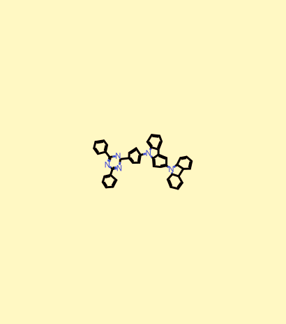 C1=CC2C3C=CC=CC3N(c3ccc4c(c3)c3ccccc3n4-c3ccc(-c4nc(-c5ccccc5)nc(-c5ccccc5)n4)cc3)C2C=C1